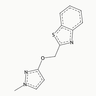 Cn1ccc(OCc2nc3ccccc3s2)n1